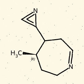 C[C@@H]1CCN=CCC1C1=C=N1